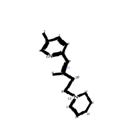 C/C(=C\c1ccc(C)cn1)CCN1CCCCC1